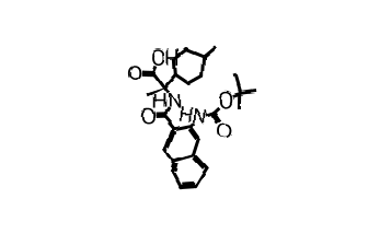 CC1CCC([C@](C)(NC(=O)c2cc3ccccc3cc2NC(=O)OC(C)(C)C)C(=O)O)CC1